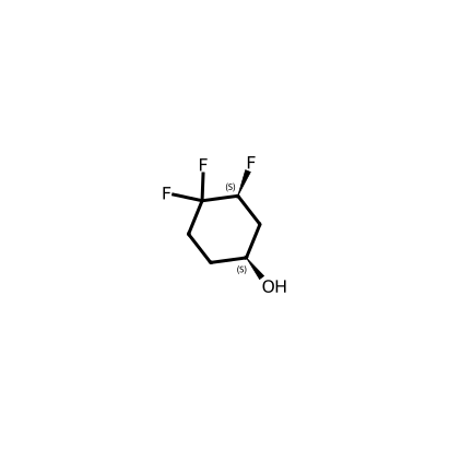 O[C@H]1CCC(F)(F)[C@@H](F)C1